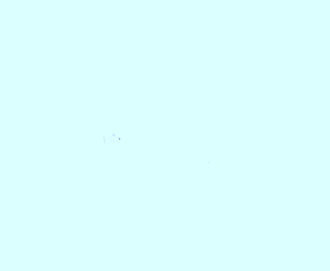 C=C1C=C(c2ccc[nH]c2=O)C=CC1